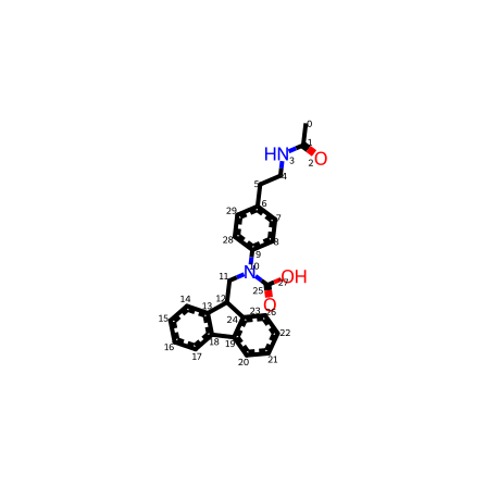 CC(=O)NCCc1ccc(N(CC2c3ccccc3-c3ccccc32)C(=O)O)cc1